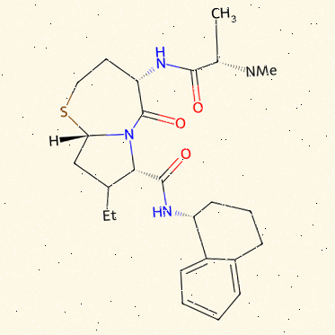 CCC1C[C@@H]2SCC[C@H](NC(=O)[C@H](C)NC)C(=O)N2[C@@H]1C(=O)N[C@@H]1CCCc2ccccc21